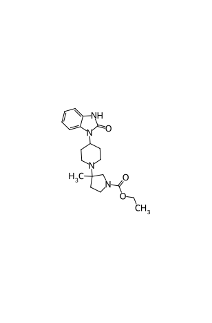 CCOC(=O)N1CCC(C)(N2CCC(n3c(=O)[nH]c4ccccc43)CC2)C1